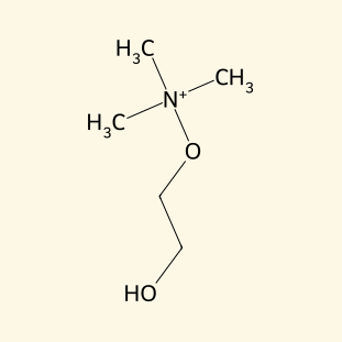 C[N+](C)(C)OCCO